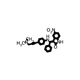 CN(C)CC#Cc1ccc(NC(=C2C(=O)Nc3ccc([N+](=O)[O-])cc32)c2ccccc2)cc1